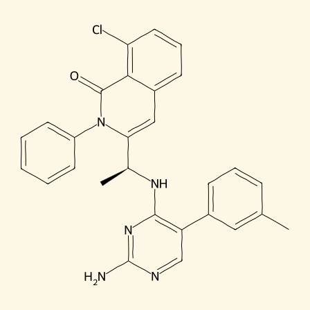 Cc1cccc(-c2cnc(N)nc2N[C@@H](C)c2cc3cccc(Cl)c3c(=O)n2-c2ccccc2)c1